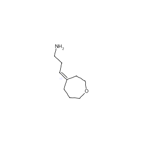 NCC/C=C1/CCCOCC1